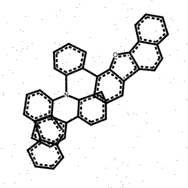 c1ccc(-c2ccccc2N(c2ccccc2-c2cccc3c2oc2c4ccccc4ccc32)c2cccc3c2sc2ccccc23)cc1